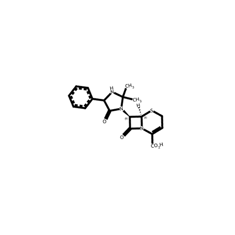 CC1(C)NC(c2ccccc2)C(=O)N1[C@@H]1C(=O)N2C(C(=O)O)=CCS[C@H]12